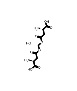 Cl.N[C@@H](CC(=O)OCOC(=O)C[C@H](N)C(=O)O)C(=O)O